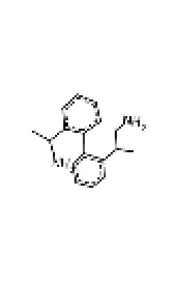 CC(N)c1ccccc1-c1ccccc1C(C)CN